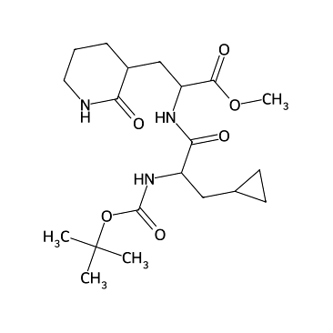 COC(=O)C(CC1CCCNC1=O)NC(=O)C(CC1CC1)NC(=O)OC(C)(C)C